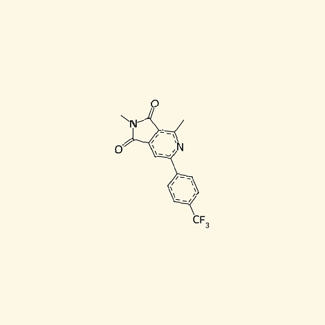 Cc1nc(-c2ccc(C(F)(F)F)cc2)cc2c1C(=O)N(C)C2=O